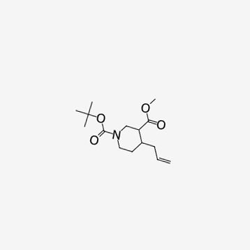 C=CCC1CCN(C(=O)OC(C)(C)C)CC1C(=O)OC